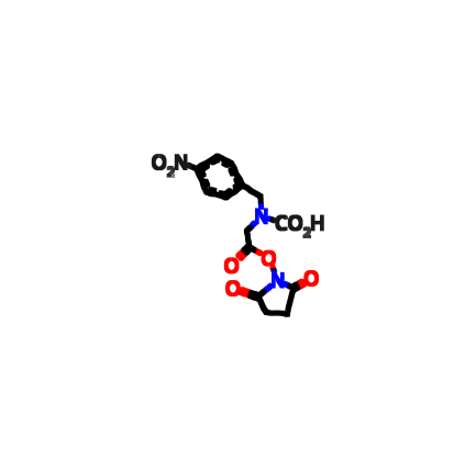 O=C(CN(Cc1ccc([N+](=O)[O-])cc1)C(=O)O)ON1C(=O)CCC1=O